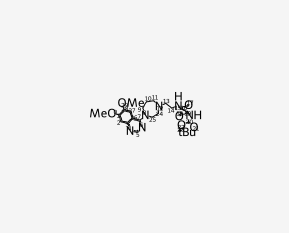 COc1cc2ncnc(N3CCCN(CCNS(=O)(=O)NC(=O)OC(C)(C)C)CC3)c2cc1OC